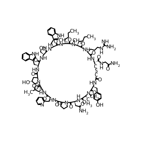 CCCC[C@H]1C(=O)N(C)[C@@H](CCCC)C(=O)N[C@@H](CCCNC(=N)N)C(=O)N[C@H](C(=O)NCC(N)=O)CSCC(=O)N[C@@H](Cc2ccc(O)cc2)C(=O)N(C)[C@@H](C)C(=O)N[C@@H](CC(N)=O)C(=O)N2CCC[C@H]2C(=O)N[C@@H](Cc2ccccn2)C(=O)N[C@@H](CC(C)C)C(=O)N2C[C@H](O)CC2C(=O)N[C@@H](Cc2c[nH]c3ccccc23)C(=O)N[C@@H](CO)C(=O)N[C@@H](Cc2c[nH]c3ccccc23)C(=O)N1C